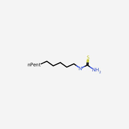 CCCCCCCCCC[N]C(N)=S